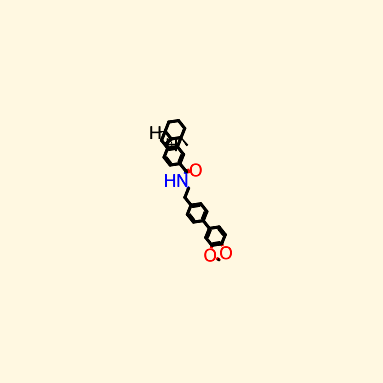 C[C@H]1[C@@H]2CCC[C@]1(C)c1cc(C(=O)NCCc3ccc(-c4ccc5c(c4)OCO5)cc3)ccc1C2